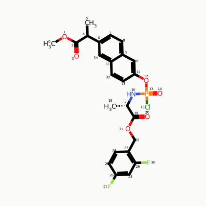 COC(=O)C(C)c1ccc2cc(OP(=O)(Cl)N[C@@H](C)C(=O)OCc3ccc(F)cc3F)ccc2c1